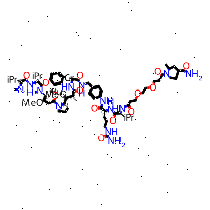 CC[C@H](C)[C@@H]([C@@H](CC(=O)N1CCC[C@H]1[C@H](OC)[C@@H](C)C(=O)N[C@@H](Cc1ccccc1)C(=O)NCc1ccc(NC(=O)[C@H](CCCNC(N)=O)NC(=O)[C@@H](NC(=O)CCOCCOCCC(=O)N2CCC(C(N)=O)CC2C)C(C)C)cc1)OC)N(C)C(=O)[C@@H](NC(=O)[C@H](C(C)C)N(C)C)C(C)C